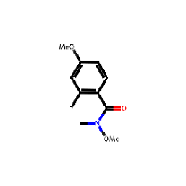 COc1ccc(C(=O)N(C)OC)c(C)c1